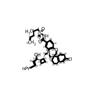 C=CCC(C)CS(=O)(=O)NC(=O)c1ccc2c(c1)N(C[C@@H]1CC[C@H]1C(O)/C=C/CCC)C[C@@]1(CCCc3cc(Cl)ccc31)CO2